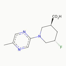 Cc1cnc(N2C[C@@H](F)C[C@H](C(=O)O)C2)cn1